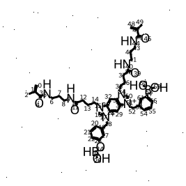 C=C(C)C(=O)NCCCNC(=O)CCCn1c[n+](Cc2cccc(OBO)c2)c2cc3c(cc21)n(CCCC(=O)NCCCNC(=O)C(=C)C)c[n+]3Cc1cccc(B(O)O)c1